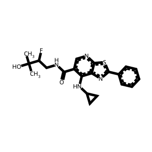 CC(C)(O)C(F)CNC(=O)c1cnc2sc(-c3ccccc3)nc2c1NC1CC1